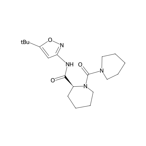 CC(C)(C)c1cc(NC(=O)[C@@H]2CCCCN2C(=O)N2CCCCC2)no1